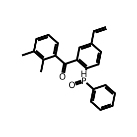 C=Cc1ccc([PH](=O)c2ccccc2)c(C(=O)c2cccc(C)c2C)c1